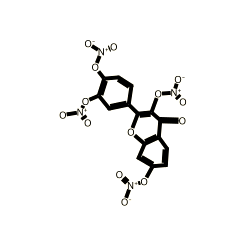 O=c1c(O[N+](=O)[O-])c(-c2ccc(O[N+](=O)[O-])c(O[N+](=O)[O-])c2)oc2cc(O[N+](=O)[O-])ccc12